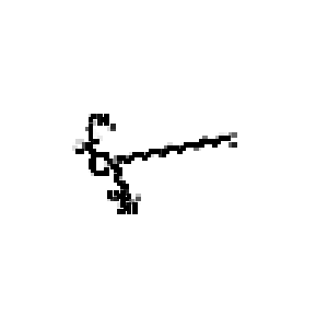 CCCCCCCCCCCCCC[N+]1(CCCS(=O)(=O)O)CCCC(C(=O)OCC)C1